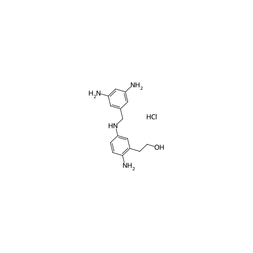 Cl.Nc1cc(N)cc(CNc2ccc(N)c(CCO)c2)c1